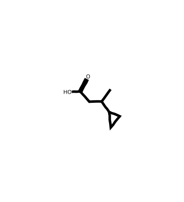 CC(CC(=O)O)C1CC1